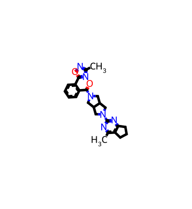 Cc1noc(-c2ccccc2C(=O)N2CC3CN(c4nc(C)c5c(n4)CCC5)CC3C2)n1